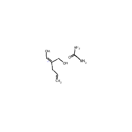 C=CC/C(=C/O)CO.NC(N)=O